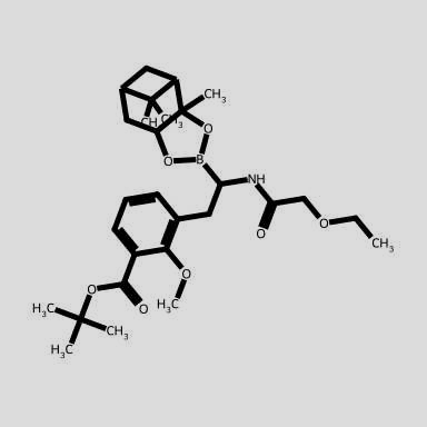 CCOCC(=O)NC(Cc1cccc(C(=O)OC(C)(C)C)c1OC)B1OC2CC3CC(C3(C)C)C2(C)O1